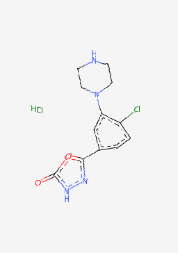 Cl.O=c1[nH]nc(-c2ccc(Cl)c(N3CCNCC3)c2)o1